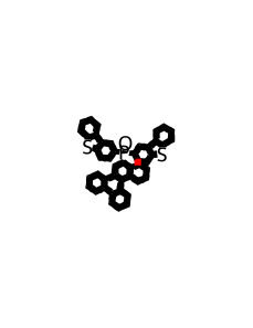 O=P(c1ccc2sc3ccccc3c2c1)(c1ccc2sc3ccccc3c2c1)c1cc2c3ccccc3c3ccccc3c2c2ccccc12